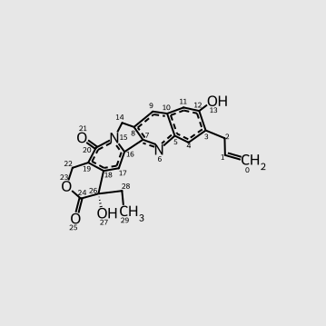 C=CCc1cc2nc3c(cc2cc1O)Cn1c-3cc2c(c1=O)COC(=O)[C@]2(O)CC